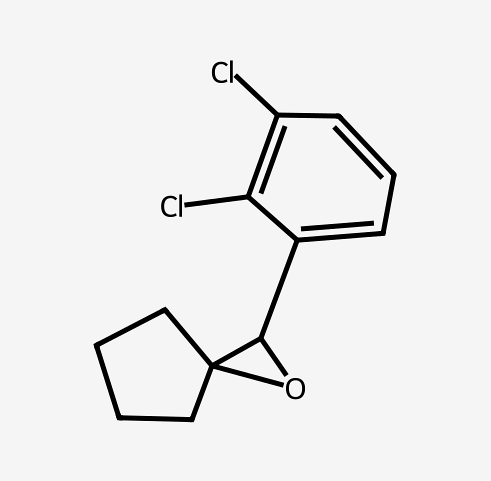 Clc1cccc(C2OC23CCCC3)c1Cl